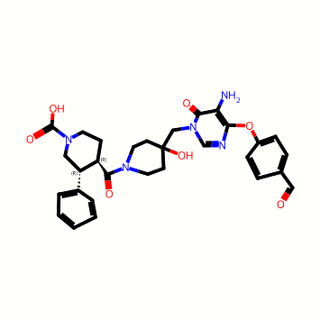 Nc1c(Oc2ccc(C=O)cc2)ncn(CC2(O)CCN(C(=O)[C@@H]3CCN(C(=O)O)C[C@H]3c3ccccc3)CC2)c1=O